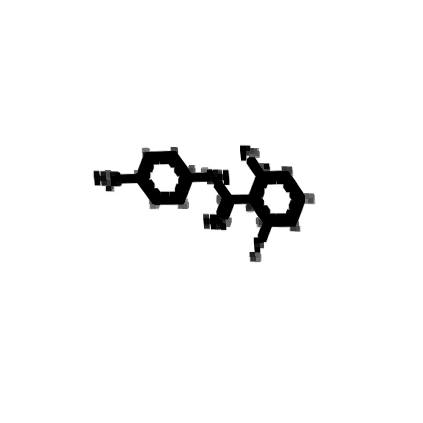 Bc1ccc(NC(=N)c2c(F)cccc2F)cc1